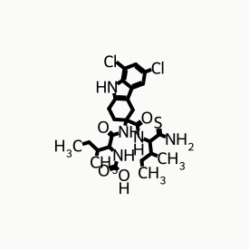 CCC(C)C(NC(=O)O)C(=O)NC1(C(=O)NC(C(N)=S)C(C)CC)CCc2[nH]c3c(Cl)cc(Cl)cc3c2C1